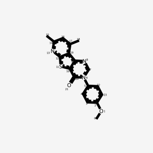 COc1ccc(-n2cnc3c(sc4nc(C)cc(C)c43)c2=O)cc1